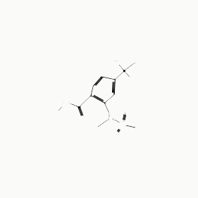 COC(=O)c1ccc(C(F)(F)F)cc1N(C)S(C)(=O)=O